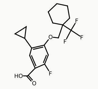 O=C(O)c1cc(C2CC2)c(OCC2(C(F)(F)F)CCCCC2)cc1F